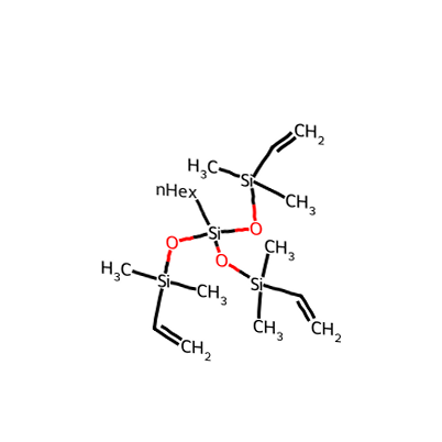 C=C[Si](C)(C)O[Si](CCCCCC)(O[Si](C)(C)C=C)O[Si](C)(C)C=C